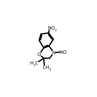 CC1(C)CN(N=O)c2cc([N+](=O)[O-])ccc2O1